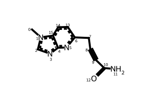 Cn1cnc2nc(CC#CC(N)=O)ccc21